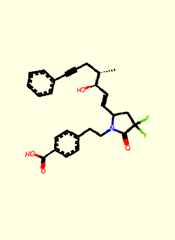 C[C@@H](CC#Cc1ccccc1)[C@H](O)C=CC1CC(F)(F)C(=O)N1CCc1ccc(C(=O)O)cc1